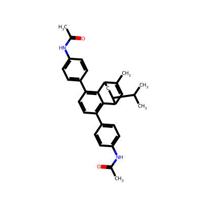 CC(=O)Nc1ccc(-c2ccc(-c3ccc(NC(C)=O)cc3)c3c2C2CC(C(C)C)C3C=C2C)cc1